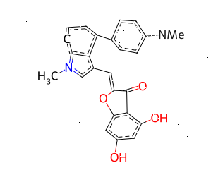 CNc1ccc(-c2cccc3c2c(/C=C2\Oc4cc(O)cc(O)c4C2=O)cn3C)cc1